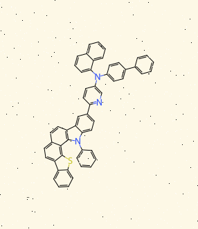 c1ccc(-c2ccc(N(c3ccc(-c4ccc5c(c4)c4ccc6ccc7c8ccccc8sc7c6c4n5-c4ccccc4)nc3)c3cccc4ccccc34)cc2)cc1